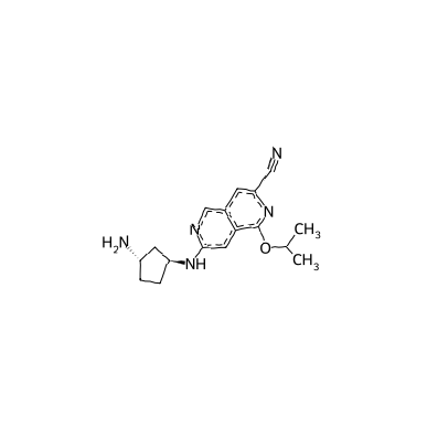 CC(C)Oc1nc(C#N)cc2cnc(N[C@H]3CC[C@H](N)C3)cc12